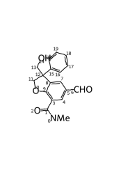 CNC(=O)c1cc(C=O)cc2c1OCC2(CO)c1ccccc1